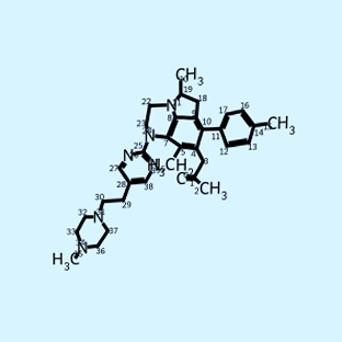 C=C(C)Cc1c(C)c2c3c(c1-c1ccc(C)cc1)CC(C)N3CCN2c1ncc(CCN2CCN(C)CC2)cn1